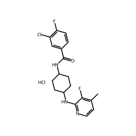 Cc1ccnc(NC2CCC(NC(=O)c3ccc(F)c(Cl)c3)CC2)c1F.Cl